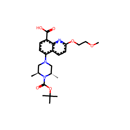 COCCOc1ccc2c(N3C[C@H](C)N(C(=O)OC(C)(C)C)[C@@H](C)C3)ccc(C(=O)O)c2n1